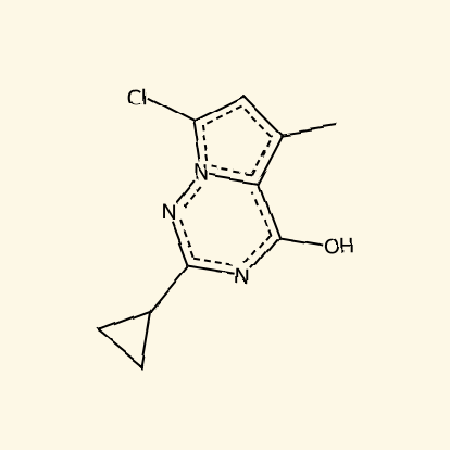 Cc1cc(Cl)n2nc(C3CC3)nc(O)c12